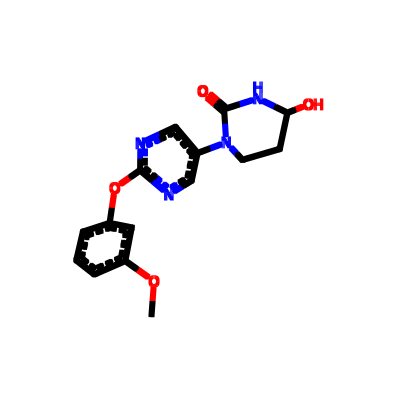 COc1cccc(Oc2ncc(N3CCC(O)NC3=O)cn2)c1